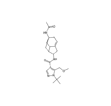 COCc1c(C(=O)NC2CC3=CCC4(NC(C)=O)CC3C2C4)cnn1C(C)(C)C